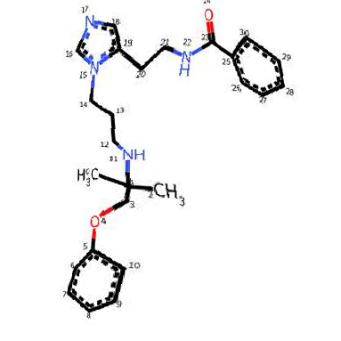 CC(C)(COc1ccccc1)NCCCn1cncc1CCNC(=O)c1ccccc1